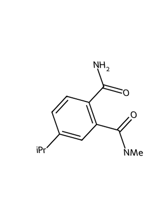 CNC(=O)c1cc(C(C)C)ccc1C(N)=O